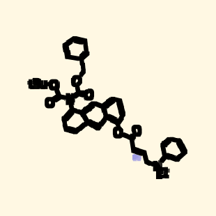 CCN(C/C=C/C(=O)Oc1cccc2cc3c(N(C(=O)OCc4ccccc4)C(=O)OC(C)(C)C)cccc3cc12)c1ccccc1